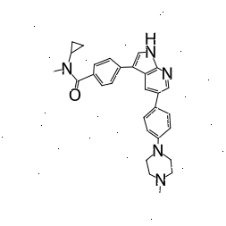 CN1CCN(c2ccc(-c3cnc4[nH]cc(-c5ccc(C(=O)N(C)C6CC6)cc5)c4c3)cc2)CC1